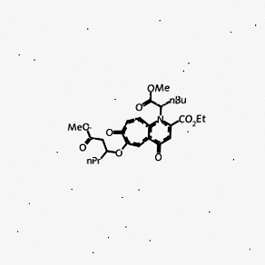 CCCCC(C(=O)OC)n1c(C(=O)OCC)cc(=O)c2cc(OC(CCC)CC(=O)OC)c(=O)ccc21